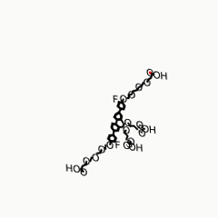 O=C(O)CCOCCOCCOCCOc1ccc(-c2ccc3c(c2)C(OCCCS(=O)(=O)O)C(OCCCS(=O)(=O)O)c2cc(-c4ccc(OCCOCCOCCOCCC(=O)O)c(F)c4)ccc2-3)cc1F